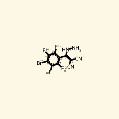 N#CC(C#N)=C(NN)c1c(F)c(F)c(Br)c(F)c1F